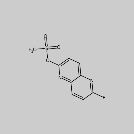 O=S(=O)(Oc1ccc2nc(F)ccc2n1)C(F)(F)F